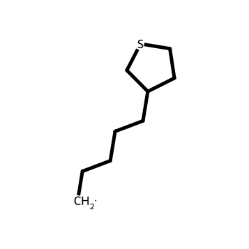 [CH2]CCCCC1CCSC1